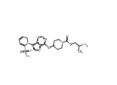 CC(C)COC(=O)N1CCC(Oc2ncnc3c2ncn3N2CC=CC=C2S(C)(=O)=O)CC1